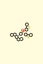 O=P(c1ccc(-c2c3ccc4ccccc4c3cc3ccc4ccccc4c23)cc1)(c1ccc2sc3ccccc3c2c1)c1ccc2sc3ccccc3c2c1